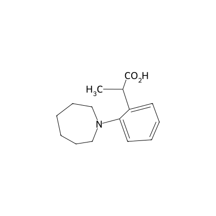 CC(C(=O)O)c1ccccc1N1CCCCCC1